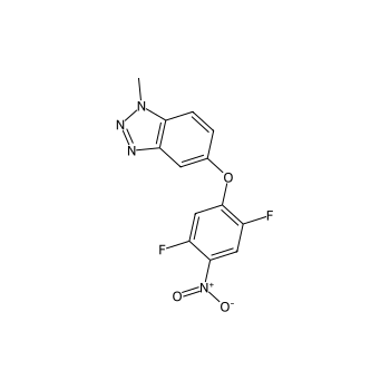 Cn1nnc2cc(Oc3cc(F)c([N+](=O)[O-])cc3F)ccc21